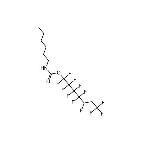 CCCCCCNC(=O)OC(F)(F)C(F)(F)C(F)(F)C(F)(F)C(F)CC(F)(F)F